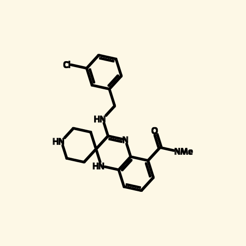 CNC(=O)c1cccc2c1N=C(NCc1cccc(Cl)c1)C1(CCNCC1)N2